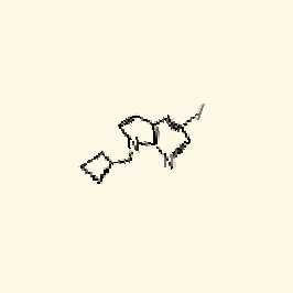 Ic1cnc2c(ccn2CC2CCC2)c1